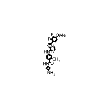 COc1ccc(-c2cnc3c(Nc4ccc(C(=O)N[C@H]5C[C@H](N)C5)c(C)c4)nccn23)c(F)c1F